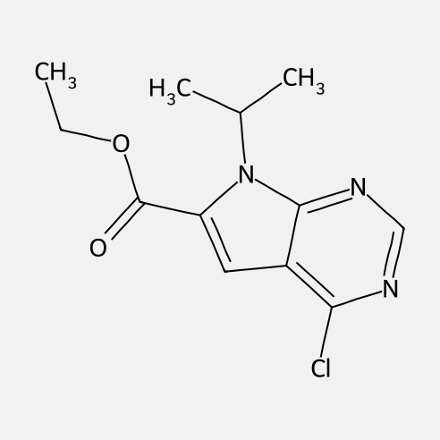 CCOC(=O)c1cc2c(Cl)ncnc2n1C(C)C